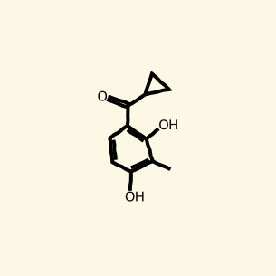 Cc1c(O)ccc(C(=O)C2CC2)c1O